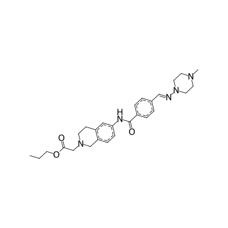 CCCOC(=O)CN1CCc2cc(NC(=O)c3ccc(C=NN4CCN(C)CC4)cc3)ccc2C1